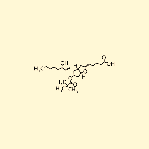 CCCCC[C@H](O)/C=C/[C@@H]1[C@H]2C/C(=C/CCCC(=O)O)O[C@H]2C[C@H]1OC(=O)C(C)(C)C